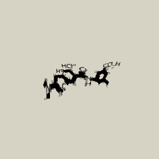 Cc1cc(NC(=O)C(CS)Cc2ccc(N(C)C)cc2)cc(C(=O)O)c1.Cl